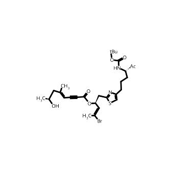 CC(=O)[C@H](CCCc1csc(C[C@@H](/C=C(\C)Br)OC(=O)C#C/C=C(\C)C[C@H](C)O)n1)NC(=O)OC(C)(C)C